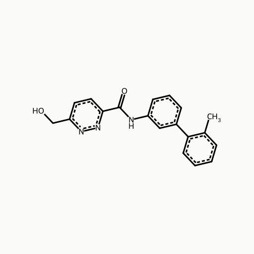 Cc1ccccc1-c1cccc(NC(=O)c2ccc(CO)nn2)c1